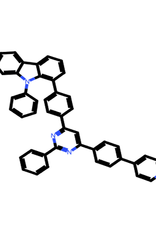 c1ccc(-c2nc(-c3ccc(-c4ccncc4)cc3)cc(-c3ccc(-c4cccc5c6ccccc6n(-c6ccccc6)c45)cc3)n2)cc1